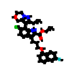 CCOC(=O)c1[nH]c2c(-c3c(CC)nn4c3COCC4)c(Cl)ccc2c1CCCOc1cccc2cc(F)ccc12